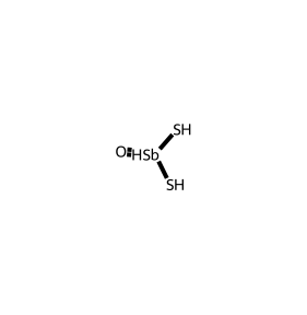 [O]=[SbH]([SH])[SH]